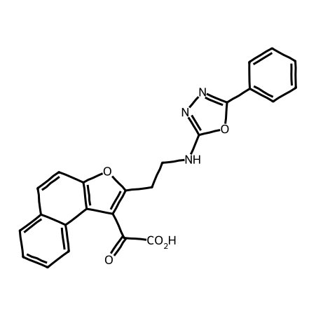 O=C(O)C(=O)c1c(CCNc2nnc(-c3ccccc3)o2)oc2ccc3ccccc3c12